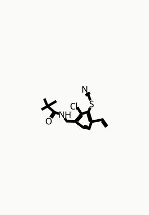 C=Cc1ccc(CNC(=O)C(C)(C)C)c(Cl)c1SC#N